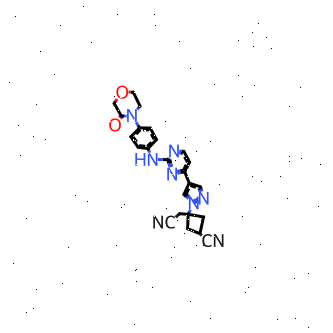 N#CCC1(n2cc(-c3ccnc(Nc4ccc(N5CCOCC5=O)cc4)n3)cn2)CC(C#N)C1